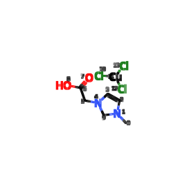 CN1C=CN(CC(=O)O)C1.[Cl][Cu]([Cl])[Cl]